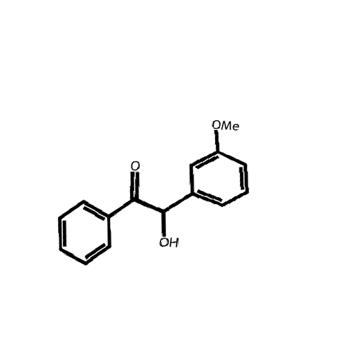 COc1cccc(C(O)C(=O)c2ccccc2)c1